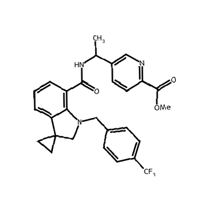 COC(=O)c1ccc(C(C)NC(=O)c2cccc3c2N(Cc2ccc(C(F)(F)F)cc2)CC32CC2)cn1